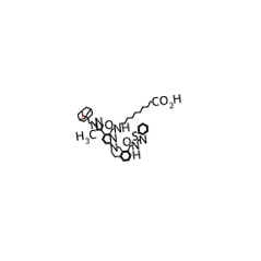 Cc1c(-c2ccc(N3CCc4cccc(C(=O)Nc5nc6ccccc6s5)c4C3)nc2C(=O)NCCCCCCCCCC(=O)O)cnn1CC12CC3CC(CC(C3)C1)C2